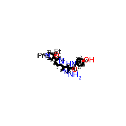 CCOC1(c2ccc(-c3cnc(N)c(C(=O)NC45CCC(O)(CC4)CC5)c3)nc2)CCN(C(C)C)CC1